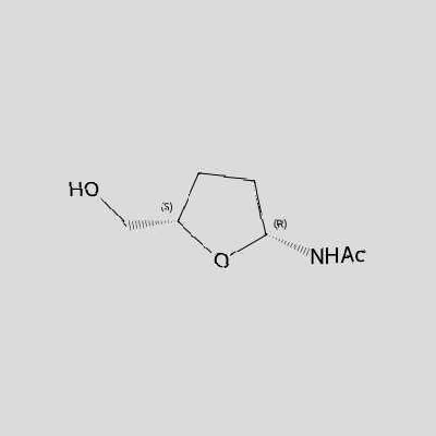 CC(=O)N[C@H]1CC[C@@H](CO)O1